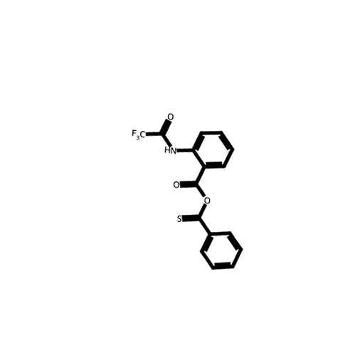 O=C(OC(=S)c1ccccc1)c1ccccc1NC(=O)C(F)(F)F